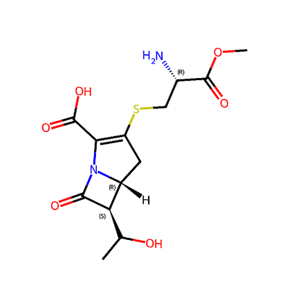 COC(=O)[C@@H](N)CSC1=C(C(=O)O)N2C(=O)[C@H](C(C)O)[C@H]2C1